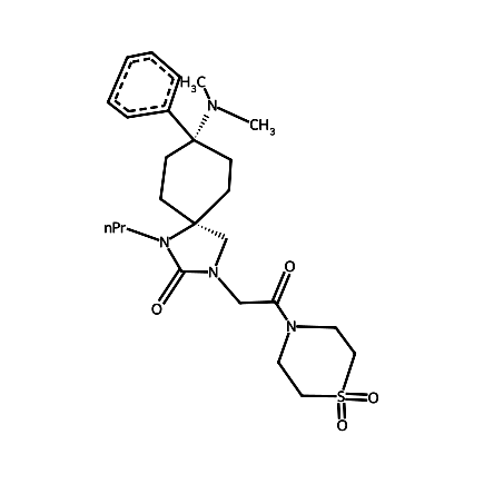 CCCN1C(=O)N(CC(=O)N2CCS(=O)(=O)CC2)C[C@]12CC[C@@](c1ccccc1)(N(C)C)CC2